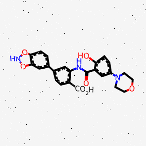 O=C(Nc1cc(-c2ccc3c(c2)ONO3)ccc1C(=O)O)c1cc(N2CCOCC2)ccc1O